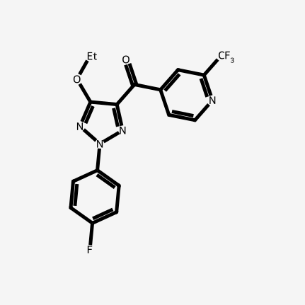 CCOc1nn(-c2ccc(F)cc2)nc1C(=O)c1ccnc(C(F)(F)F)c1